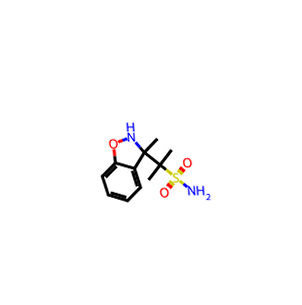 CC1(C(C)(C)S(N)(=O)=O)NOc2ccccc21